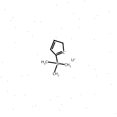 C[Si](C)(C)C1=[C-]CC=C1.[Li+]